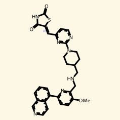 COc1ccc(-c2cccc3cnccc23)nc1CNCC1CCN(c2nccc(/C=C3\SC(=O)NC3=O)n2)CC1